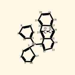 c1ccc(P(c2ccccc2)c2cccc3c4c5ccccc5c(c23)CC4)cc1